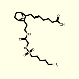 CCCCCCS(=O)(=O)NCC(=O)NCCC1C2CCC(O2)C1CC=CCCCC(=O)O